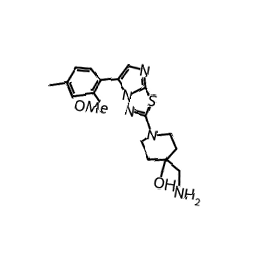 COc1cc(C)ccc1-c1cnc2sc(N3CCC(O)(CN)CC3)nn12